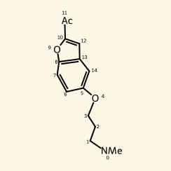 CNCCCOc1ccc2oc(C(C)=O)cc2c1